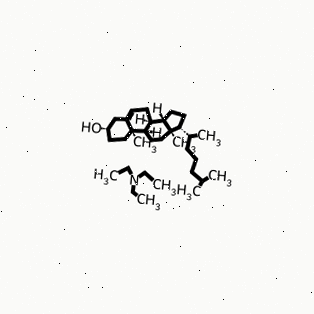 CC(C)CCCC(C)[C@H]1CC[C@H]2[C@@H]3CC=C4C[C@@H](O)CC[C@]4(C)[C@H]3CC[C@]12C.CCN(CC)CC